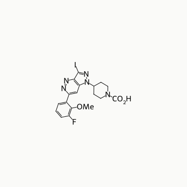 COc1c(F)cccc1-c1cc2c(nn1)c(I)nn2C1CCN(C(=O)O)CC1